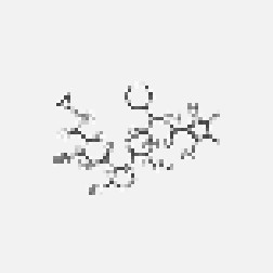 CCC[C@H](NC(=O)[C@@H]1C(C(C)C)CCN1C(=O)[C@@H](NC(=O)C(NC(=O)c1[nH]c(C)c(C)c1C(C)=O)C1CCCCC1)C(C)(C)C)C(=O)C(=O)NC1CC1